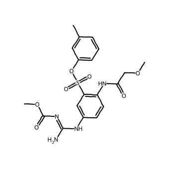 COCC(=O)Nc1ccc(NC(N)=NC(=O)OC)cc1S(=O)(=O)Oc1cccc(C)c1